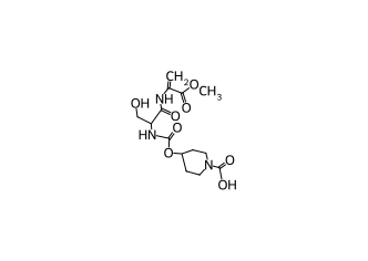 C=C(NC(=O)C(CO)NC(=O)OC1CCN(C(=O)O)CC1)C(=O)OC